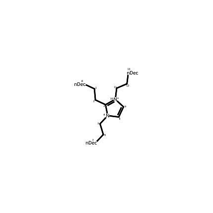 CCCCCCCCCCCCc1n(CCCCCCCCCCCC)cc[n+]1CCCCCCCCCCCC